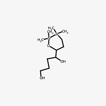 C[Si]1(C)CCC(C(O)CCCO)O[Si]1(C)C